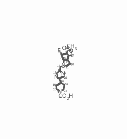 CS(=O)(=O)c1c(F)cc2c(ccn2Cc2cnc(C3=CCN(C(=O)O)CC3)cn2)c1F